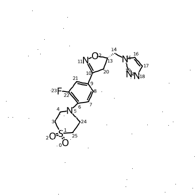 O=S1(=O)CCN(c2ccc(C3=NO[C@H](Cn4ccnn4)C3)cc2F)CC1